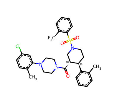 Cc1ccccc1[C@@H]1CCN(S(=O)(=O)c2ccccc2C(F)(F)F)C[C@H]1C(=O)N1CCN(c2cc(Cl)ccc2C)CC1